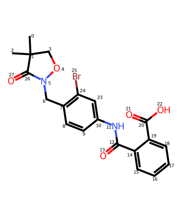 CC1(C)CON(Cc2ccc(NC(=O)c3ccccc3C(=O)O)cc2Br)C1=O